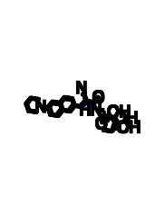 N#C/C(=C\c1ccc2cc(N3CCCCC3)ccc2c1)C(=O)NC[C@H]1OCC[C@@H](O)C1(O)O